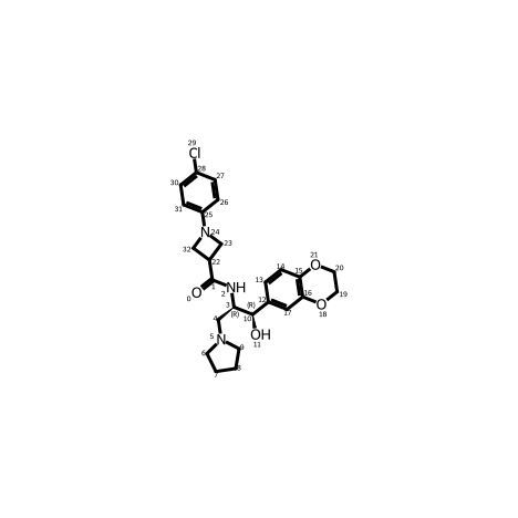 O=C(N[C@H](CN1CCCC1)[C@H](O)c1ccc2c(c1)OCCO2)C1CN(c2ccc(Cl)cc2)C1